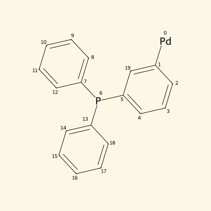 [Pd][c]1cccc(P(c2ccccc2)c2ccccc2)c1